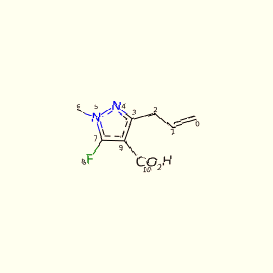 C=CCc1nn(C)c(F)c1C(=O)O